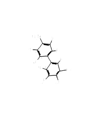 Nc1c(F)c(F)c(-c2c(F)c(F)c(I)c(F)c2F)c(F)c1F